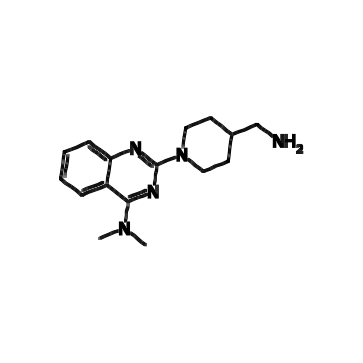 CN(C)c1nc(N2CCC(CN)CC2)nc2ccccc12